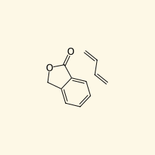 C=CC=C.O=C1OCc2ccccc21